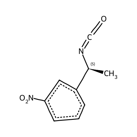 C[C@H](N=C=O)c1cccc([N+](=O)[O-])c1